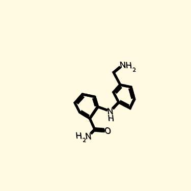 NCc1cccc(Nc2ccccc2C(N)=O)c1